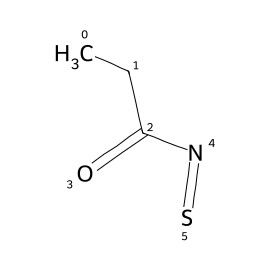 CCC(=O)N=S